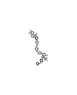 NC(=O)c1c(-c2ccc(Oc3ccccc3)cc2)nn2c1NCCC2C1CCN(CC2CCN(CCN3CCC(c4ccc5c(c4)C(=O)N(C4CCC(=O)NC4=O)C5=O)CC3)CC2)CC1